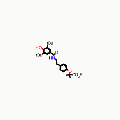 CCOC(=O)C(C)(C)Oc1ccc(CCNC(=O)c2cc(C(C)(C)C)c(O)c(C(C)(C)C)c2)cc1